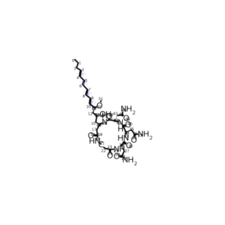 CCC/C=C/C=C/C=C/C=C/[C@H](C[C@H](O)C[C@@H]1CC(=O)NCCC(=O)N[C@H](CC(N)=O)C(=O)N[C@H](CC(N)=O)C(=O)N[C@@H](CC(N)=O)C(=O)N1)OC